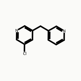 Clc1cncc(Cc2cccnc2)c1